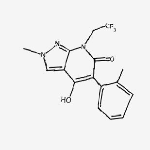 Cc1ccccc1-c1c(O)c2cn(C)nc2n(CC(F)(F)F)c1=O